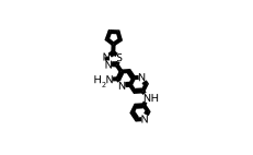 Nc1nc2cc(Nc3cccnc3)cnc2cc1-c1nnc(C2CCCC2)s1